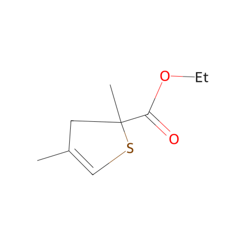 CCOC(=O)C1(C)CC(C)=CS1